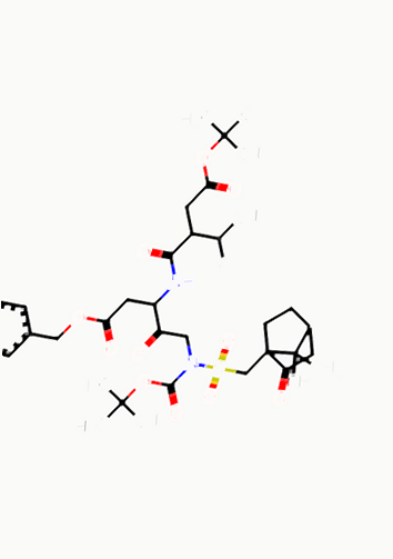 CC(C)C(CC(=O)OC(C)(C)C)C(=O)NC(CC(=O)OCc1ccccc1)C(=O)CN(C(=O)OC(C)(C)C)S(=O)(=O)CC12CCC(CC1=O)C2(C)C